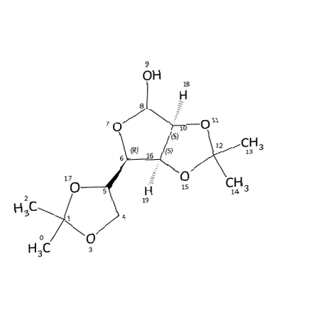 CC1(C)OCC([C@H]2OC(O)[C@H]3OC(C)(C)O[C@H]32)O1